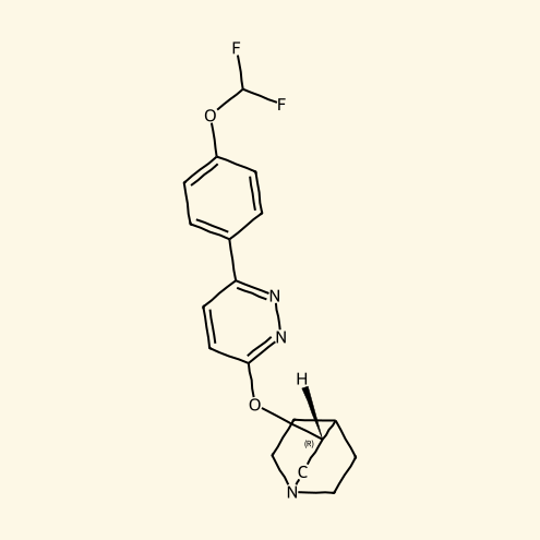 FC(F)Oc1ccc(-c2ccc(O[C@H]3CN4CCC3CC4)nn2)cc1